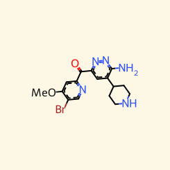 COc1cc(C(=O)c2cc(C3CCNCC3)c(N)nn2)ncc1Br